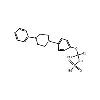 CCC(C)S(=O)(=O)NC(CC)(Oc1ccc(N2CCN(c3ccncc3)CC2)cc1)C(=O)O